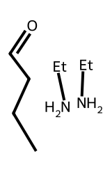 CCCC=O.CCN.CCN